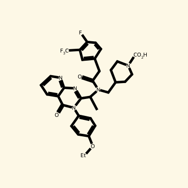 CCOc1ccc(-n2c(C(C)N(CC3CCN(C(=O)O)CC3)C(=O)Cc3ccc(F)c(C(F)(F)F)c3)nc3ncccc3c2=O)cc1